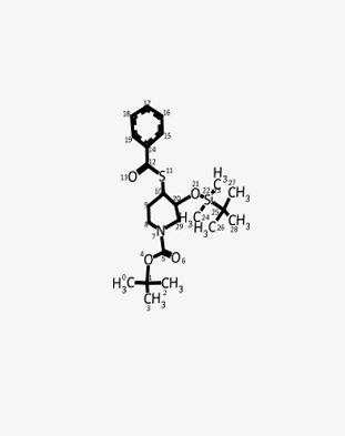 CC(C)(C)OC(=O)N1CCC(SC(=O)c2ccccc2)C(O[Si](C)(C)C(C)(C)C)C1